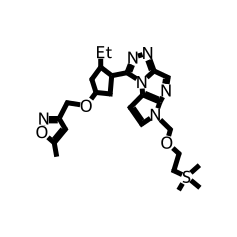 CCC1CC(OCc2cc(C)on2)CC1c1nnc2cnc3c(ccn3COCCS(C)(C)C)n12